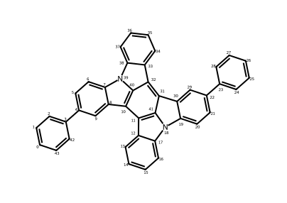 c1ccc(-c2ccc3c(c2)c2c4c5ccccc5n5c6ccc(-c7ccccc7)cc6c(c6c7ccccc7n3c62)c45)cc1